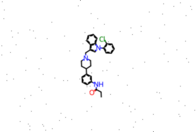 CCC(=O)Nc1cccc(C2CCN(Cc3cn(-c4ccccc4Cl)c4ccccc34)CC2)c1